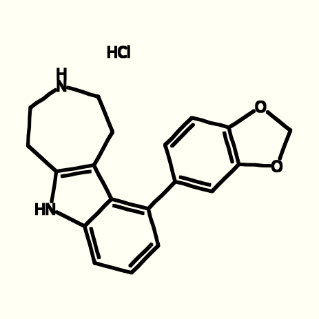 Cl.c1cc(-c2ccc3c(c2)OCO3)c2c3c([nH]c2c1)CCNCC3